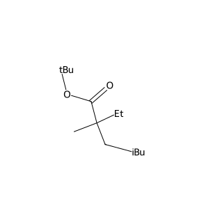 CCC(C)CC(C)(CC)C(=O)OC(C)(C)C